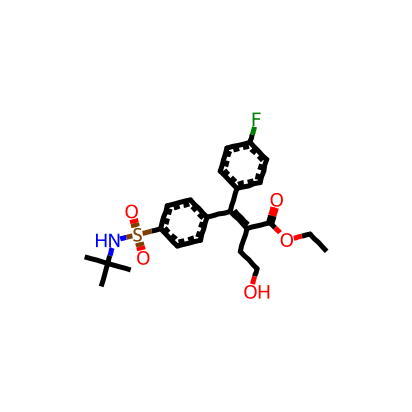 CCOC(=O)/C(CCO)=C(\c1ccc(F)cc1)c1ccc(S(=O)(=O)NC(C)(C)C)cc1